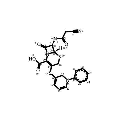 N#CCC(=O)N[C@@H]1C(=O)N2C(C(=O)O)=C(SC3=CC=CN(c4ccccc4)C3)CS[C@@H]12